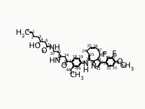 C=CCCC(O)CC(=O)NCCC(=N)CC(=O)c1ccc(N/C2=C\C/C=C\CCC3C(c4ccc(OC)c(F)c4F)=CN=C23)cc1CC